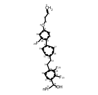 C=CCCOc1ccc(-c2ccc(CCc3ccc(C(O)CCC)c(F)c3F)cc2)c(F)c1